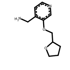 NCc1ccncc1OCC1CCCO1